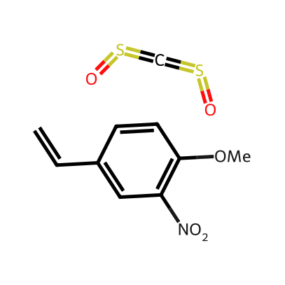 C=Cc1ccc(OC)c([N+](=O)[O-])c1.O=S=C=S=O